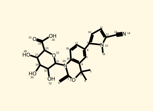 C=C1OC(C)(C)c2cc(-c3ccc(C#N)n3C)ccc2N1C1OC(C(=O)O)C(O)C(O)C1O